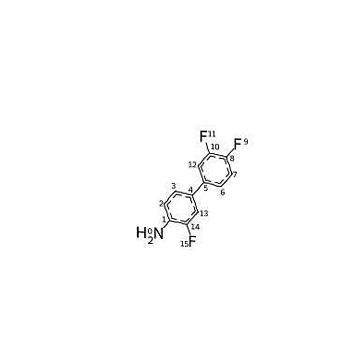 Nc1ccc(-c2ccc(F)c(F)c2)cc1F